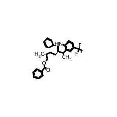 C[C@H](CC[C@@H]1[C@H](C)c2cc(C(F)(F)F)ccc2N[C@H]1C1C=CC=CC1)COC(=O)c1ccccc1